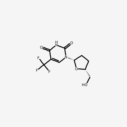 O=c1[nH]c(=O)n([C@@H]2CC[C@H](CO)O2)cc1C(F)(F)F